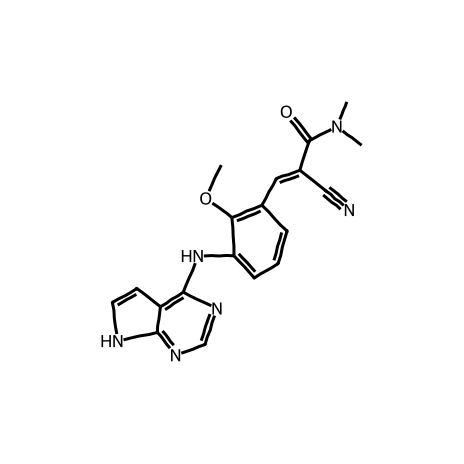 COc1c(/C=C(\C#N)C(=O)N(C)C)cccc1Nc1ncnc2[nH]ccc12